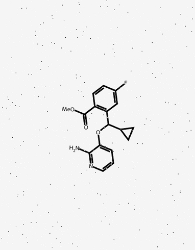 COC(=O)c1ccc(F)cc1C(Oc1cccnc1N)C1CC1